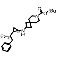 CC[C@H](Cc1ccccc1)C1C[C@H]1NC1CC2(CCN(C(=O)OC(C)(C)C)CC2)C1